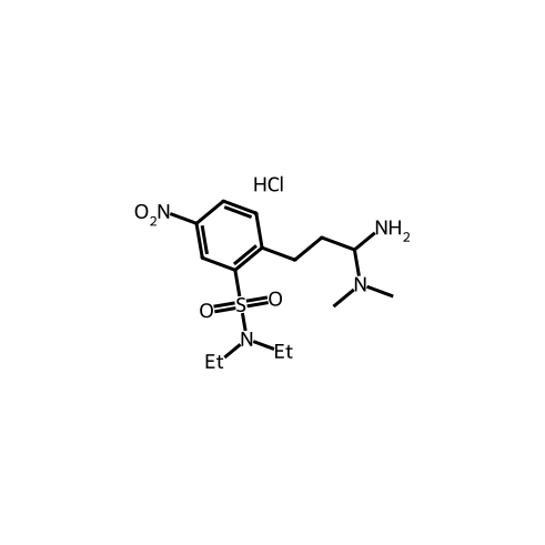 CCN(CC)S(=O)(=O)c1cc([N+](=O)[O-])ccc1CCC(N)N(C)C.Cl